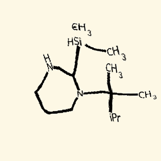 CC(C)C(C)(C)N1CCCNC1[SiH](C)C